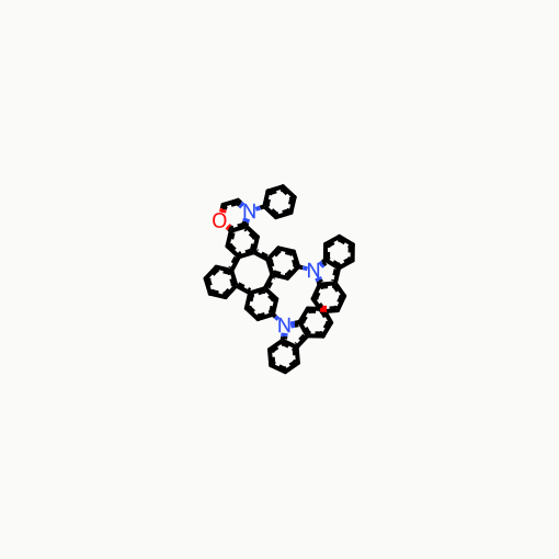 c1ccc(-n2ccoc3cc4c5ccccc5c5ccc(-n6c7ccccc7c7ccccc76)cc5c5cc(-n6c7ccccc7c7ccccc76)ccc5c4cc32)cc1